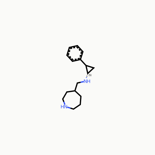 c1ccc(C2C[C@@H]2NCC2CCCNCC2)cc1